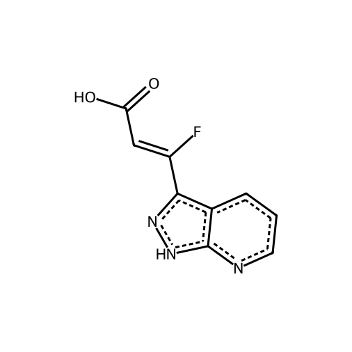 O=C(O)/C=C(\F)c1n[nH]c2ncccc12